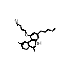 C=C(C)C1CCC(C)=CC1c1c(O)cc(CCCCC)cc1OCCCN=O